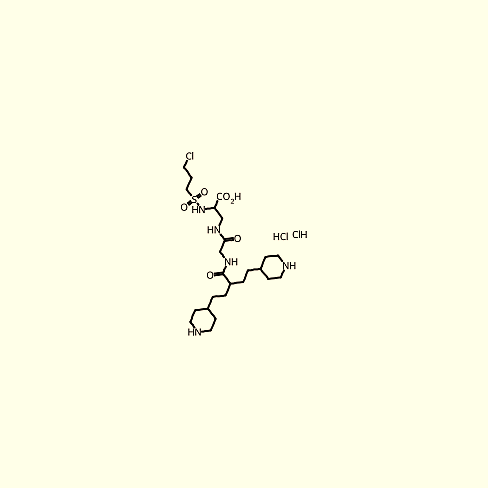 Cl.Cl.O=C(CNC(=O)C(CCC1CCNCC1)CCC1CCNCC1)NCC(NS(=O)(=O)CCCCl)C(=O)O